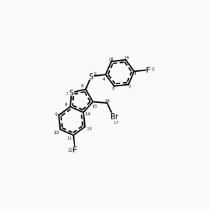 Fc1ccc(Sc2sc3ccc(F)cc3c2CBr)cc1